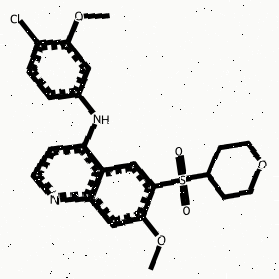 COc1cc(Nc2ccnc3cc(OC)c(S(=O)(=O)C4CCOCC4)cc23)ccc1Cl